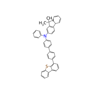 CC1(C)c2cc(N(c3ccccc3)c3ccc(-c4ccc(-c5cccc6c5sc5ccccc56)cc4)cc3)ccc2C2C=CC=CC21